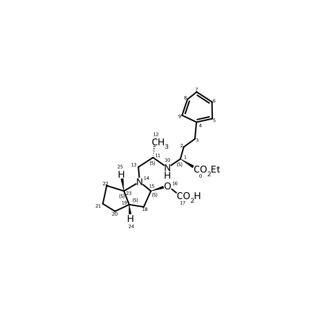 CCOC(=O)[C@H](CCc1ccccc1)N[C@@H](C)CN1[C@@H](OC(=O)O)C[C@@H]2CCC[C@@H]21